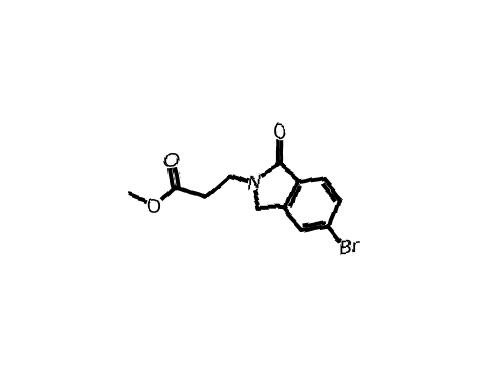 COC(=O)CCN1Cc2cc(Br)ccc2C1=O